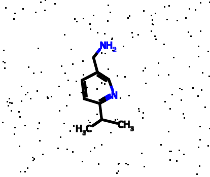 CC(C)c1ccc(CN)cn1